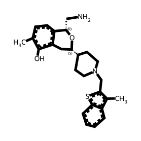 Cc1ccc2c(c1O)C[C@@H](C1CCN(Cc3sc4ccccc4c3C)CC1)O[C@H]2CN